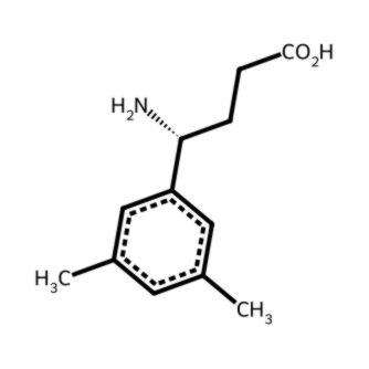 Cc1cc(C)cc([C@H](N)CCC(=O)O)c1